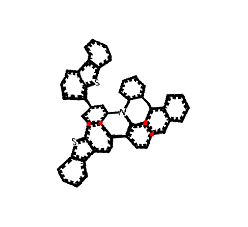 c1cc(-c2cccc3c2sc2ccccc23)cc(N(c2ccccc2-c2ccc3sc4ccccc4c3c2)c2ccccc2-c2cccc3ccccc23)c1